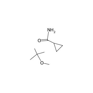 COC(C)(C)C.NC(=O)C1CC1